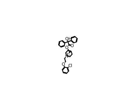 O=C(OC1C[N+]2(CCOc3ccccc3Cl)CCC1CC2)C(O)(c1ccccc1)c1ccccc1